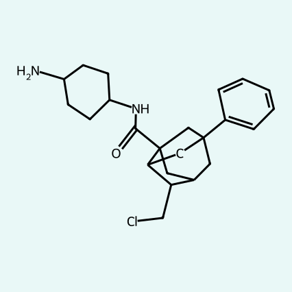 NC1CCC(NC(=O)C23CC4CC(c5ccccc5)(CC2C4CCl)C3)CC1